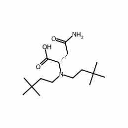 CC(C)(C)CCN(CCC(C)(C)C)[C@@H](CC(N)=O)C(=O)O